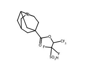 O=C(OC(C(F)(F)F)C(F)(F)S(=O)(=O)O)C12CC3COC(CC(C3)C1)C2